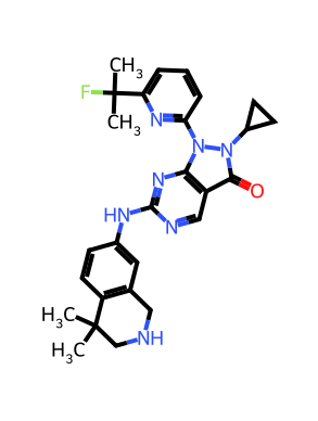 CC(C)(F)c1cccc(-n2c3nc(Nc4ccc5c(c4)CNCC5(C)C)ncc3c(=O)n2C2CC2)n1